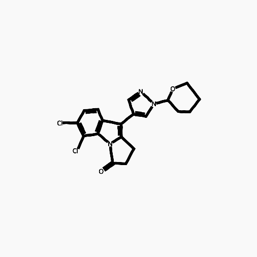 O=C1CCc2c(-c3cnn(C4CCCCO4)c3)c3ccc(Cl)c(Cl)c3n21